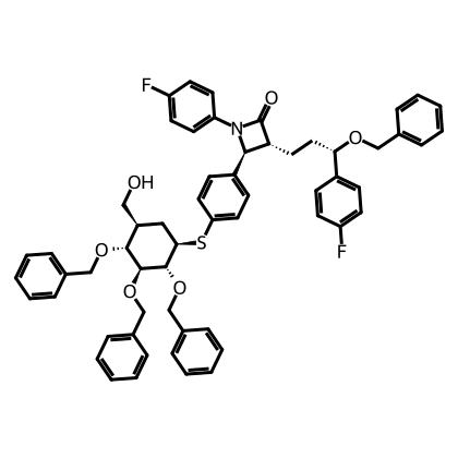 O=C1[C@H](CC[C@H](OCc2ccccc2)c2ccc(F)cc2)[C@@H](c2ccc(S[C@@H]3C[C@H](CO)[C@@H](OCc4ccccc4)[C@H](OCc4ccccc4)[C@H]3OCc3ccccc3)cc2)N1c1ccc(F)cc1